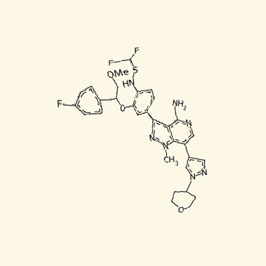 COCC(Oc1cc(-c2nn(C)c3c(-c4cnn(C5CCOCC5)c4)cnc(N)c23)ccc1NSC(F)F)c1ccc(F)cc1